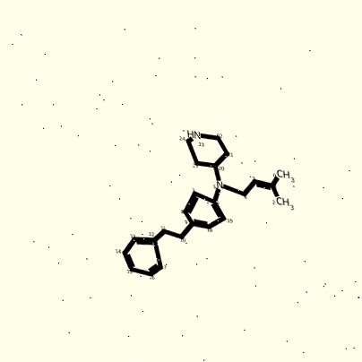 CC(C)=CCN(c1ccc(CCc2ccccc2)cc1)C1CCNCC1